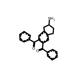 NC1CCc2cc(C(=O)c3ccccc3)c(C(=O)c3ccccc3)cc2C1